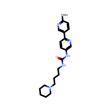 COc1ccc(-c2ccc(NC(=O)NCCCCN3CCCCC3)cn2)cn1